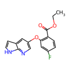 CCOC(=O)c1ccc(F)cc1Oc1cnc2[nH]ccc2c1